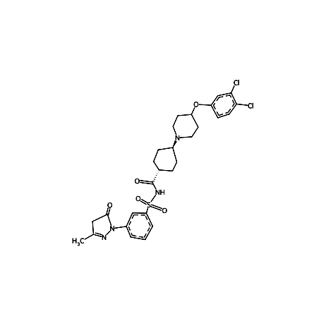 CC1=NN(c2cccc(S(=O)(=O)NC(=O)[C@H]3CC[C@H](N4CCC(Oc5ccc(Cl)c(Cl)c5)CC4)CC3)c2)C(=O)C1